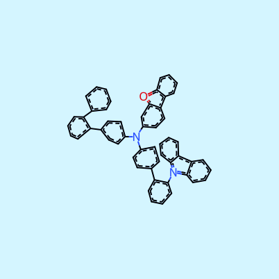 c1ccc(-c2ccccc2-c2ccc(N(c3ccc(-c4ccccc4-n4c5ccccc5c5ccccc54)cc3)c3ccc4c(c3)oc3ccccc34)cc2)cc1